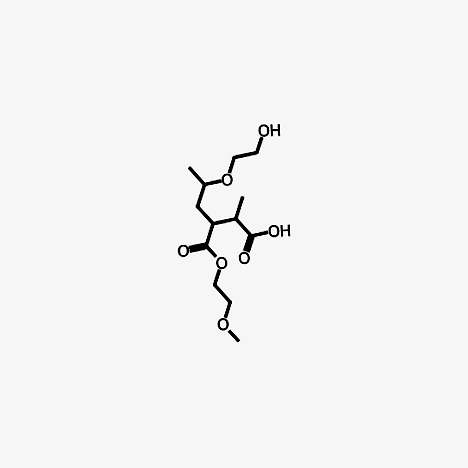 COCCOC(=O)C(CC(C)OCCO)C(C)C(=O)O